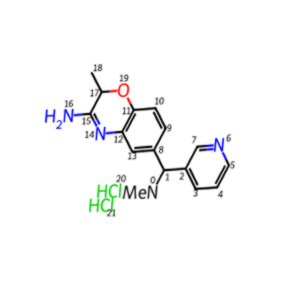 CNC(c1cccnc1)c1ccc2c(c1)N=C(N)C(C)O2.Cl.Cl